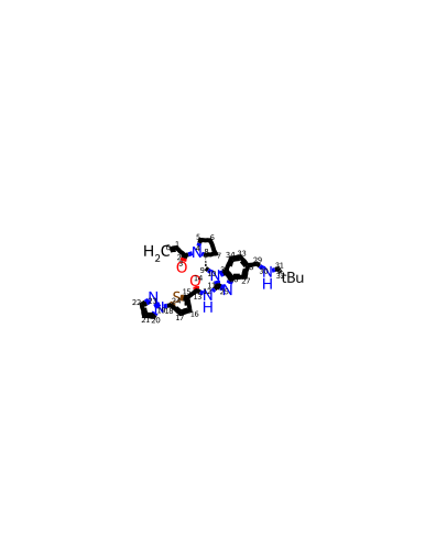 C=CC(=O)N1CCC[C@@H]1Cn1c(NC(=O)c2ccc(-n3cccn3)s2)nc2cc(CNCC(C)(C)C)ccc21